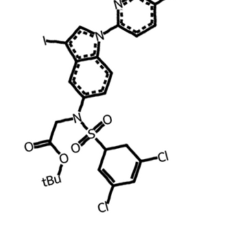 CNc1ccc(-n2cc(I)c3cc(N(CC(=O)OC(C)(C)C)S(=O)(=O)C4C=C(Cl)C=C(Cl)C4)ccc32)nn1